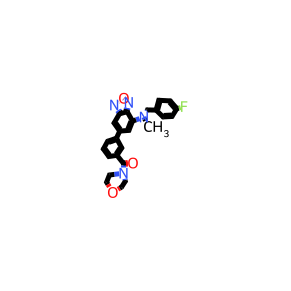 CN(Cc1ccc(F)cc1)c1cc(-c2cccc(C(=O)N3CCOCC3)c2)cc2nonc12